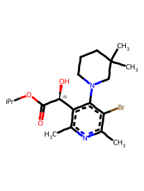 Cc1nc(C)c([C@H](O)C(=O)OC(C)C)c(N2CCCC(C)(C)C2)c1Br